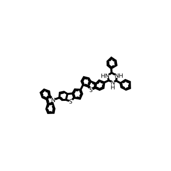 C1=CC2c3cc(-c4cccc5c4sc4ccc(C6NC(c7ccccc7)NC(c7ccccc7)N6)cc45)ccc3SC2C=C1n1c2ccccc2c2ccccc21